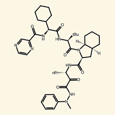 CCC[C@H](NC(=O)[C@@H]1C[C@@H]2CCCC[C@@H]2N1C(=O)[C@@H](NC(=O)[C@@H](NC(=O)c1cnccn1)C1CCCCC1)C(C)(C)C)C(=O)C(=O)NN(C)c1ccccc1